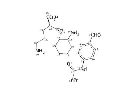 CCCC(=O)Nc1ccc(C=O)cc1.NC1CCCCC1.NCCC[C@H](N)C(=O)O